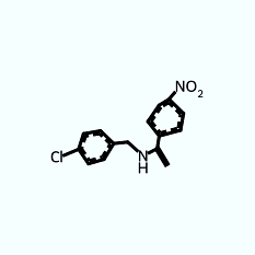 C=C(NCc1ccc(Cl)cc1)c1ccc([N+](=O)[O-])cc1